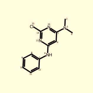 CN(C)c1cc(Nc2ccccc2)nc(Cl)n1